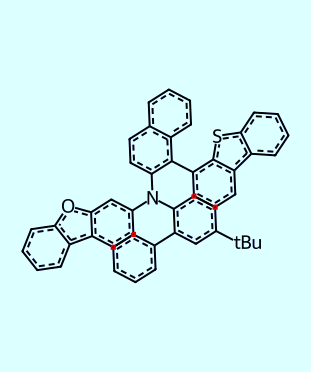 CC(C)(C)c1ccc(N(c2ccc3c(c2)oc2ccccc23)c2ccc3ccccc3c2-c2cccc3c2sc2ccccc23)c(-c2ccccc2)c1